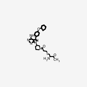 CC(=O)C(N)CSCCC(=O)N1CCCC(n2nc(-c3ccc(Oc4ccccc4)cc3)c3c(N)ncnc32)C1